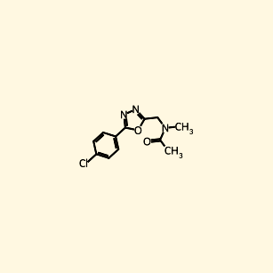 CC(=O)N(C)Cc1nnc(-c2ccc(Cl)cc2)o1